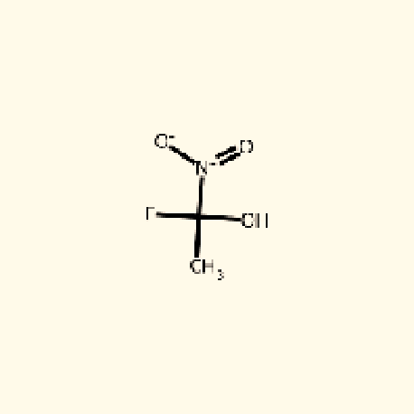 CC(O)(F)[N+](=O)[O-]